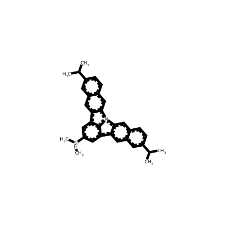 CC(C)c1ccc2cc3c(cc2c1)c1cc([SiH](C)C)cc2c4cc5cc(C(C)C)ccc5cc4n3c12